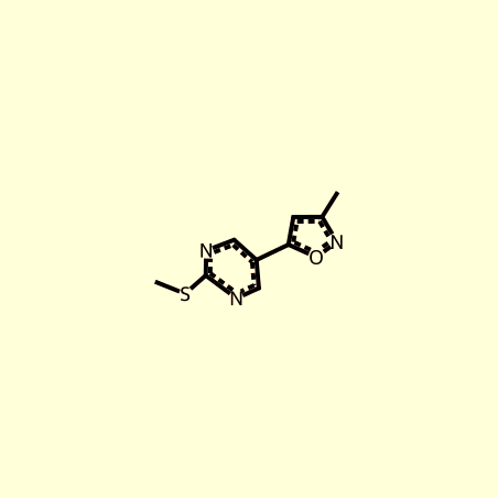 CSc1ncc(-c2cc(C)no2)cn1